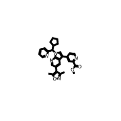 COC(=O)c1cc(-c2cn(C(c3ccccn3)C3CCCC3)c3ncc(-c4c(C)noc4C)cc23)ccn1